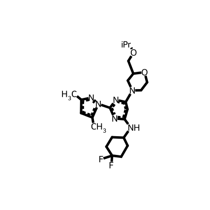 Cc1cc(C)n(-c2nc(NC3CCC(F)(F)CC3)cc(N3CCOC(COC(C)C)C3)n2)n1